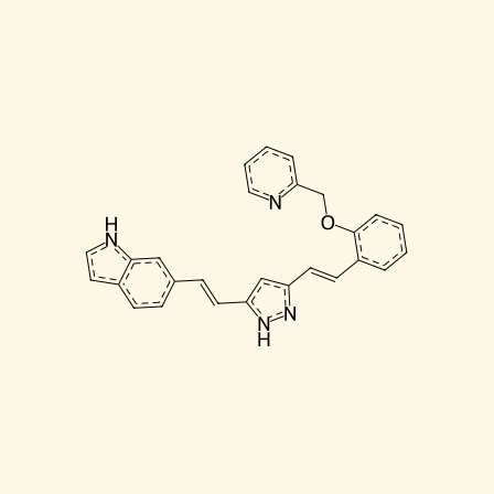 C(=C\c1cc(/C=C/c2ccccc2OCc2ccccn2)n[nH]1)/c1ccc2cc[nH]c2c1